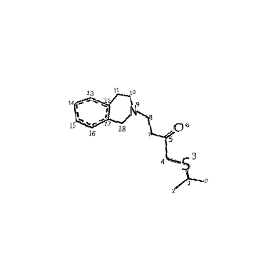 CC(C)SCC(=O)CCN1CCc2ccccc2C1